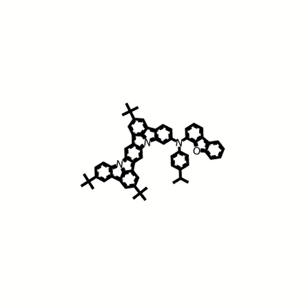 CC(C)c1ccc(N(c2ccc3c4cc(C(C)(C)C)cc5c6cc7c(cc6n(c3c2)c45)c2cc(C(C)(C)C)cc3c4cc(C(C)(C)C)ccc4n7c32)c2cccc3c2oc2ccccc23)cc1